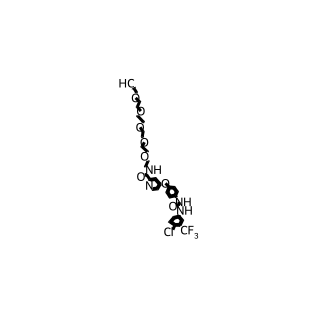 C#CCOCCOCCOCCOCCOCCNC(=O)c1cc(Oc2ccc(NC(=O)Nc3ccc(Cl)c(C(F)(F)F)c3)cc2)ccn1